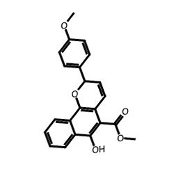 COC(=O)c1c2c(c3ccccc3c1O)OC(c1ccc(OC)cc1)C=C2